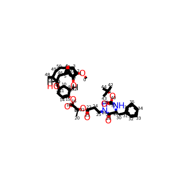 COc1ccc2c3c1O[C@@H]1C[C@@](O)(CC=C1OC(=O)[C@H](C)OC(=O)CCNC(=O)[C@H](Cc1ccccc1)NC(=O)OC(C)(C)C)[C@@H](C2)C(C)CCC3